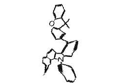 CC1(C)c2ccccc2Oc2ccc(-c3cccc4c3c3ccc5ccccc5c3n4-c3ccccc3)cc21